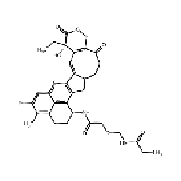 CCC(=O)NCOCC(=O)N[C@H]1CCc2c(C)c(F)cc3nc4c(c1c23)CC1CCC(=O)C2=C(/C=C/41)[C@@](O)(CC)C(=O)OC2